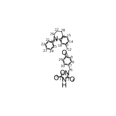 O=c1[nH]c(=O)n(Cc2ccc(OCc3ccc4c(c3)N(c3ccccc3)CCC4)cc2)o1